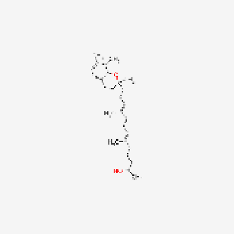 CC1=CC=C2CCC(C)(CC/C=C(\C)CC/C=C(\C)CCCC(C)O)OC2C1C